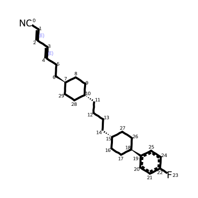 N#C/C=C/C=C/CC[C@H]1CC[C@H](CCCC[C@H]2CC[C@H](c3ccc(F)cc3)CC2)CC1